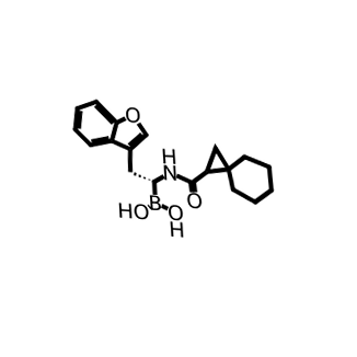 O=C(N[C@@H](Cc1coc2ccccc12)B(O)O)C1CC12CCCCC2